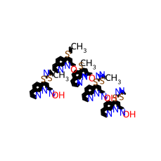 CCCSc1cc(C=O)nc2c1ccc1cccnc12.CSc1cc(C=O)nc2c1ccc1cccnc12.Cc1cnc(Sc2cc(C=NO)nc3c2ccc2cccnc23)s1.Cc1nnc(Sc2cc(C=NO)nc3c2ccc2cccnc23)s1.ON=Cc1cc(Sc2nncs2)c2ccc3cccnc3c2n1